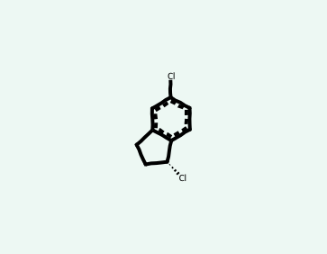 Clc1ccc2c(c1)CC[C@H]2Cl